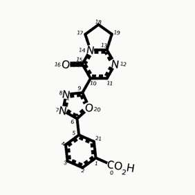 O=C(O)c1cccc(-c2nnc(-c3cnc4n(c3=O)CCC4)o2)c1